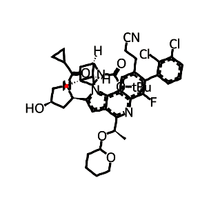 C[C@@H](OC1CCCCO1)c1nc2c(F)c(-c3cccc(Cl)c3Cl)c(CCC#N)cc2c2c1cc([C@H]1C[C@@H](O)CN1C(=O)C1CC1)n2[C@H]1[C@@H]2C[C@H]1N(C(=O)OC(C)(C)C)C2